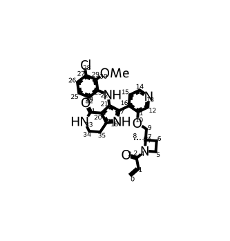 C=CC(=O)N1CC[C@]1(C)COc1cnccc1-c1[nH]c2c(c1Nc1cccc(Cl)c1OC)C(=O)NCC2